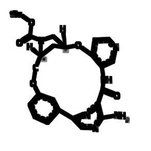 CC(C)(C)OC(=O)N1C[C@H]2C[C@@H]1COc1cccc(c1)-c1cnc(N)c(n1)C(=O)Nc1cnccc1O2